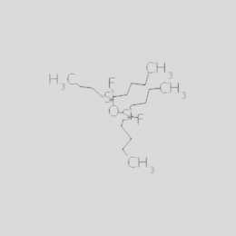 CCCC[Si](F)(CCCC)O[Si](F)(CCCC)CCCC